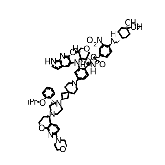 CC(C)Oc1ccccc1[C@H]1CN([C@H]2CCOc3nc(N4CCOCC4)ccc32)CCN1C1CC2(CCN(c3ccc(C(=O)NS(=O)(=O)c4ccc(NC[C@H]5CC[C@](C)(O)CC5)c([N+](=O)[O-])c4)c(N4c5cc6cc[nH]c6nc5O[C@H]5COCC[C@@H]54)c3)CC2)C1